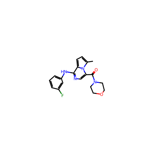 Cc1ccc2c(Nc3cccc(F)c3)ncc(C(=O)N3CCOCC3)n12